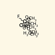 COC(=O)c1ccc(-c2ccccc2S(=O)(=O)N(COCC[Si](C)(C)C)c2onc(C)c2C)c(CCCF)c1